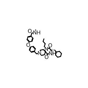 CCCCN1C(=O)[C@H](CC2CCCCC2)NC(=O)C12CCN(Cc1ccc(Oc3ccc(C(=O)NC)cc3)cc1)CC2